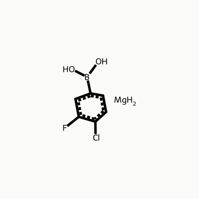 OB(O)c1ccc(Cl)c(F)c1.[MgH2]